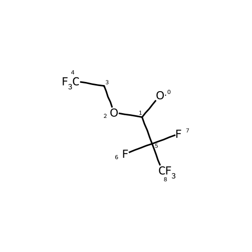 [O]C(OCC(F)(F)F)C(F)(F)C(F)(F)F